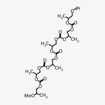 COC(C)COC(=O)OC(C)COC(=O)OC(C)COC(=O)OC(C)COC(=O)OC(C)COC(=O)OC(C)COC(C)C